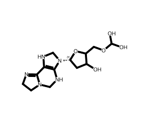 OC(O)OCC1O[C@@H](N2CNC3=C2NCN2CCN=C32)CC1O